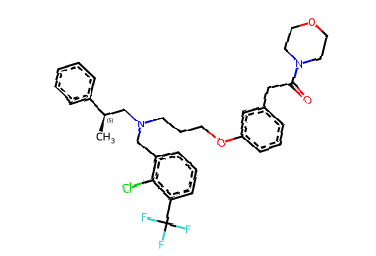 C[C@H](CN(CCCOc1cccc(CC(=O)N2CCOCC2)c1)Cc1cccc(C(F)(F)F)c1Cl)c1ccccc1